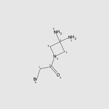 NC1(N)CN(C(=O)CBr)C1